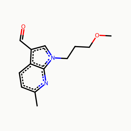 COCCCn1cc(C=O)c2ccc(C)nc21